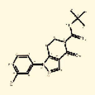 CC(C)(C)OC(=O)N1CCc2c(cnn2-c2ccnc(Br)c2)C1=O